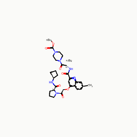 CCCCOC(=O)N1CCN(C(=O)[C@@H](NC(=O)c2cc(OCC(=O)N3CCC[C@H]3C(=O)NC3CCC3)c3ccc(C)cc3n2)[C@H](C)CC)CC1